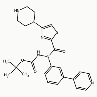 CC(C)(C)OC(=O)NN(C(=O)c1nc(N2CCNCC2)cs1)c1cccc(-c2ccncc2)c1